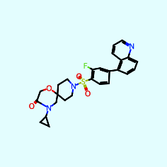 O=C1COC2(CCN(S(=O)(=O)c3ccc(-c4cccc5ncccc45)cc3F)CC2)CN1C1CC1